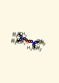 Cc1c(-n2c3ccc(C(C)(C)C)cc3c3cc(C(C)(C)C)ccc32)ccc2cc3c(cc12)oc1cc2cc(N4c5ccc(C(C)(C)C)cc5C5=CC(C(C)(C)C)=CCC54)ccc2cc13